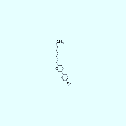 CCCCCCCCC1CCC(c2ccc(Br)cc2)CO1